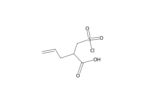 C=CCC(CS(=O)(=O)Cl)C(=O)O